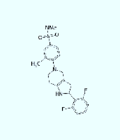 CNS(=O)(=O)c1ccc(N2CCC3=C(CC(c4c(F)cccc4F)N3)C2)c(C)c1